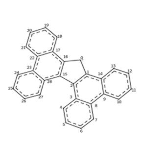 [CH]1c2c(c3ccccc3c3ccccc23)-c2c1c1ccccc1c1ccccc21